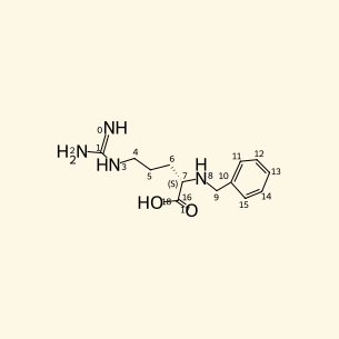 N=C(N)NCCC[C@H](NCc1ccccc1)C(=O)O